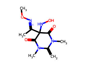 C=C1N(C)C(=O)C(NO)(/C(C)=N/OC)C(=O)N1C